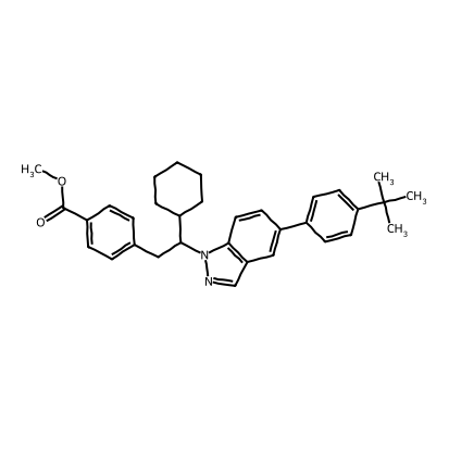 COC(=O)c1ccc(CC(C2CCCCC2)n2ncc3cc(-c4ccc(C(C)(C)C)cc4)ccc32)cc1